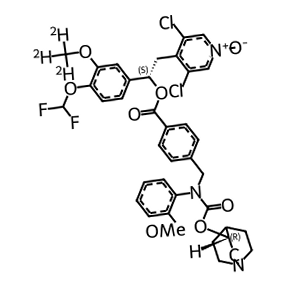 [2H]C([2H])([2H])Oc1cc([C@H](Cc2c(Cl)c[n+]([O-])cc2Cl)OC(=O)c2ccc(CN(C(=O)O[C@H]3CN4CCC3CC4)c3ccccc3OC)cc2)ccc1OC(F)F